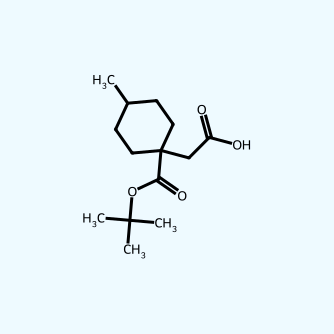 CC1CCC(CC(=O)O)(C(=O)OC(C)(C)C)CC1